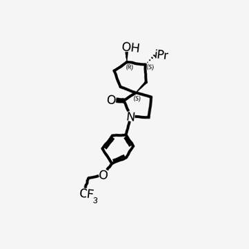 CC(C)[C@@H]1C[C@@]2(CC[C@H]1O)CCN(c1ccc(OCC(F)(F)F)cc1)C2=O